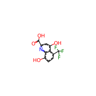 O=C(O)c1cc(O)c2c(C(F)(F)F)ccc(O)c2n1